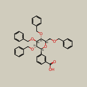 O=C(O)c1cccc([C@@H]2O[C@H](COCc3ccccc3)[C@@H](OCc3ccccc3)[C@H](OCc3ccccc3)[C@H]2OCc2ccccc2)c1